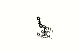 C[C@H](CNC(=O)OC(C)(C)C)Oc1cccc(OCC2CCCC2)c1